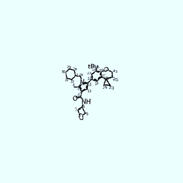 Cc1c(C(=O)NC2COC2)cc(-c2cc(C(C)(C)C)c3c(c2)C2(CCO3)CC2)n1CC1CCCCC1